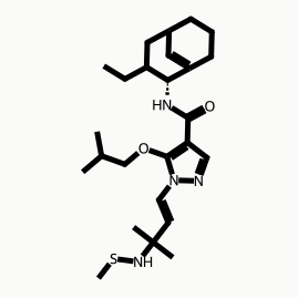 CCC1CC2C=C(CCC2)[C@@H]1NC(=O)c1cnn(/C=C/C(C)(C)NSC)c1OCC(C)C